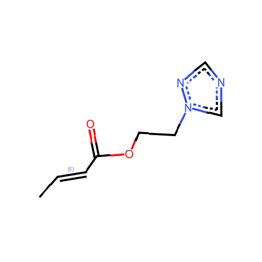 C/C=C/C(=O)OCCn1cncn1